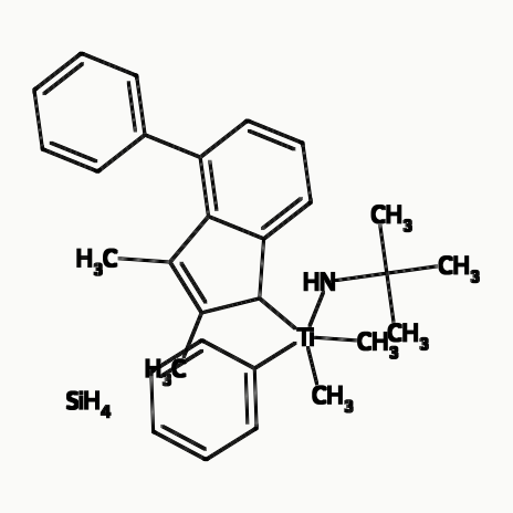 CC1=C(C)[CH]([Ti]([CH3])([CH3])([NH]C(C)(C)C)[c]2ccccc2)c2cccc(-c3ccccc3)c21.[SiH4]